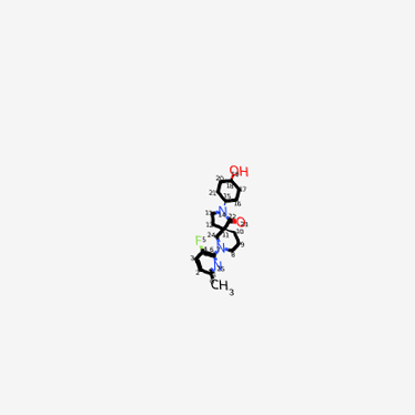 Cc1ccc(F)c(N2CCC[C@]3(CCN([C@H]4CC[C@H](O)CC4)C3=O)C2)n1